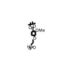 COc1cc(OCCC[SH](=O)=O)ccc1B1OC(C)(C)C(C)(C)O1